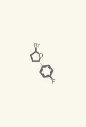 Fc1ccc([C@@H]2CCC(Br)O2)cc1